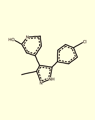 Cc1n[nH]c(-c2ccc(Cl)cc2)c1-c1ccnc(O)c1